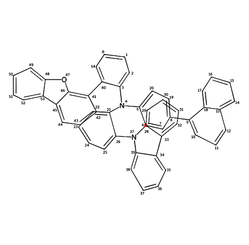 c1ccc(N(c2ccc(-c3cccc4ccccc34)cc2)c2ccccc2-n2c3ccccc3c3ccccc32)c(-c2cccc3c2oc2ccccc23)c1